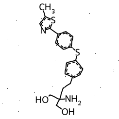 Cc1cnc(-c2ccc(Sc3ccc(CCC(N)(CO)CO)cc3)cc2)s1